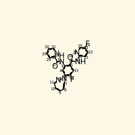 O=C(Nc1cc(N2C=CC=CC=N2)c(F)cc1C(=O)Nc1ccc(F)cn1)c1ccccn1